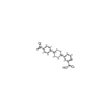 O=C(O)c1cc(N2CCN(c3ccc([N+](=O)[O-])cc3)CC2)ccn1